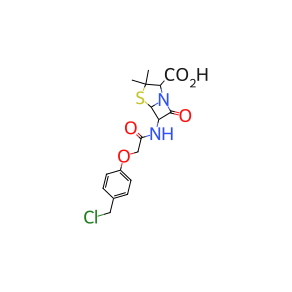 CC1(C)SC2C(NC(=O)COc3ccc(CCl)cc3)C(=O)N2C1C(=O)O